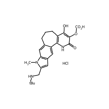 Cl.Cn1c(CNC(C)(C)C)cc2cc3c(cc21)CCCc1c-3[nH]c(=O)c(OC(=O)O)c1O